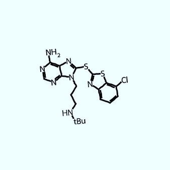 CC(C)(C)NCCCn1c(Sc2nc3cccc(Cl)c3s2)nc2c(N)ncnc21